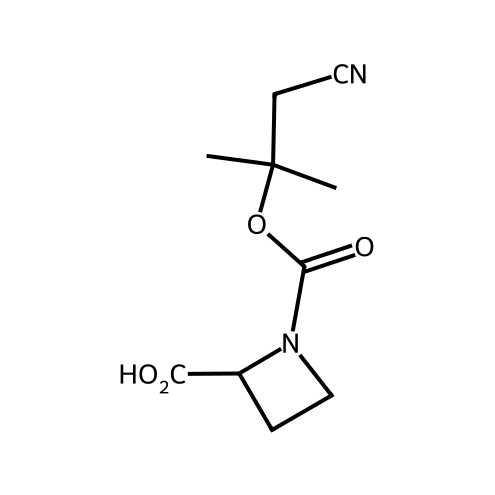 CC(C)(CC#N)OC(=O)N1CCC1C(=O)O